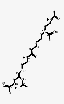 CC(=O)NCCN(CCSCCC(=O)NCCOCC(COC(C)=O)OC(C)O)C(C)=O